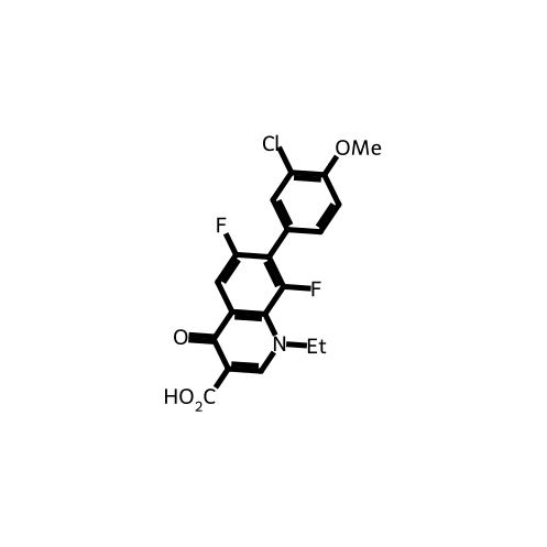 CCn1cc(C(=O)O)c(=O)c2cc(F)c(-c3ccc(OC)c(Cl)c3)c(F)c21